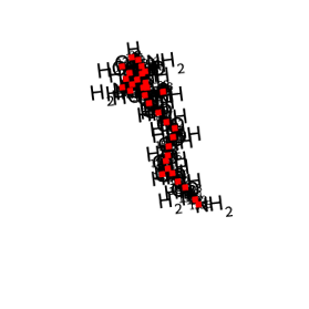 NCCCC[C@H](NC(=O)[C@H](CCC(=O)O)NC(=O)[C@H](Cc1ccccc1)NC(=O)[C@H](CCC(N)=O)NC(=O)[C@@H]1CCCN1C(=O)[C@H](Cc1c[nH]cn1)NC(=O)[C@H](CO)NC(=O)[C@H](Cc1c[nH]c2ccccc12)NC(=O)[C@H](CO)NC(=O)CNC(=O)CNC(=O)CNC(=O)[C@H](CO)NC(=O)CNC(=O)CNC(=O)CNC(=O)[C@H](CO)NC(=O)CNC(=O)CNC(=O)CNC(=O)[C@@H](N)CCCCN)C(=O)O